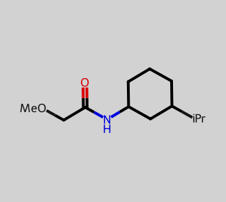 COCC(=O)NC1CCCC(C(C)C)C1